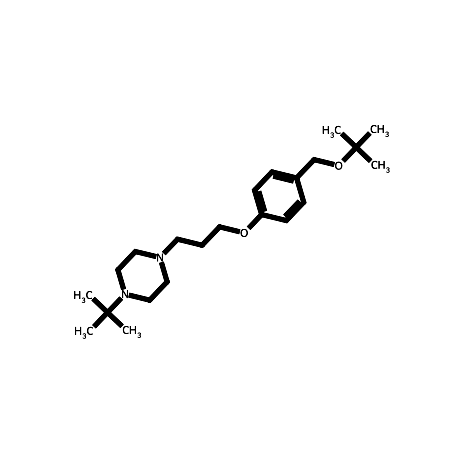 CC(C)(C)OCc1ccc(OCCCN2CCN(C(C)(C)C)CC2)cc1